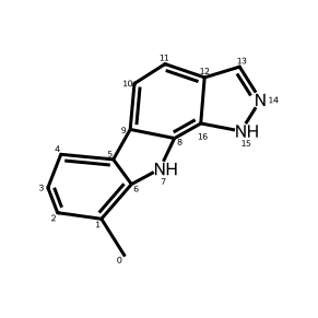 Cc1cccc2c1[nH]c1c2ccc2cn[nH]c21